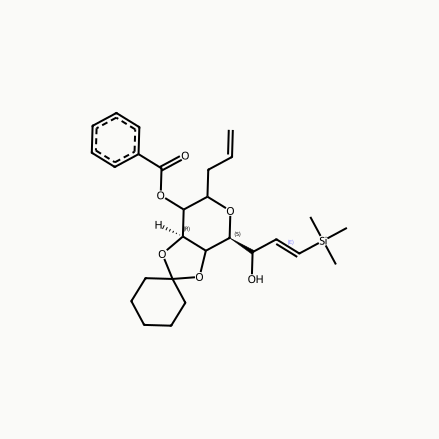 C=CCC1O[C@@H](C(O)/C=C/[Si](C)(C)C)C2OC3(CCCCC3)O[C@H]2C1OC(=O)c1ccccc1